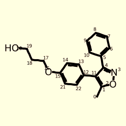 Cc1onc(-c2ccccc2)c1-c1ccc(OCCCO)cc1